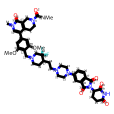 CNC(=O)N1CCc2c(-c3cc(OC)c(CN4CCC(CCN5CCN(c6ccc7c(c6)C(=O)N(C6CCC(=O)NC6=O)C7=O)CC5)C(F)(F)C4)c(OC)c3)cn(C)c(=O)c2C1